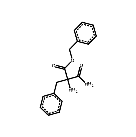 NC(=O)C(N)(Cc1ccccc1)C(=O)OCc1ccccc1